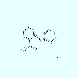 NC(=O)c1ccccc1N.c1cncnc1